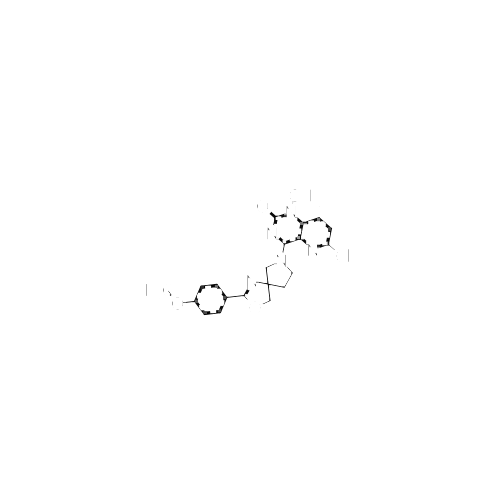 Cn1c(=O)nc(N2CCC3(COC(c4ccc(OC(F)(F)F)cc4)=N3)C2)c2nc(Cl)ccc21